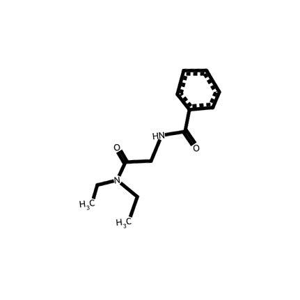 CCN(CC)C(=O)CNC(=O)c1ccccc1